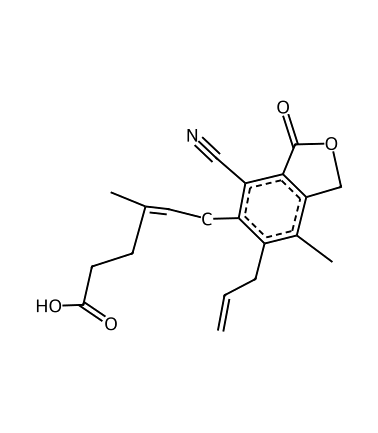 C=CCc1c(C)c2c(c(C#N)c1CC=C(C)CCC(=O)O)C(=O)OC2